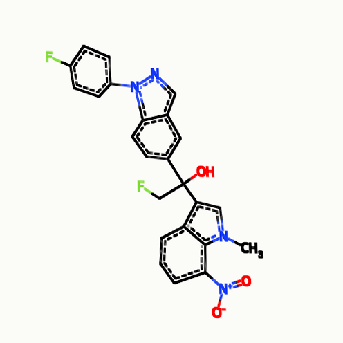 Cn1cc(C(O)(CF)c2ccc3c(cnn3-c3ccc(F)cc3)c2)c2cccc([N+](=O)[O-])c21